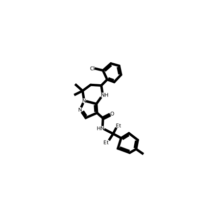 CCC(CC)(NC(=O)c1cnn2c1NC(c1ccccc1Cl)CC2(C)C)c1ccc(C)cc1